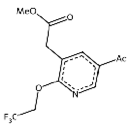 COC(=O)Cc1cc(C(C)=O)cnc1OCC(F)(F)F